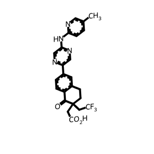 Cc1ccc(Nc2cnc(-c3ccc4c(c3)CCC(CC(=O)O)(CC(F)(F)F)C4=O)cn2)nc1